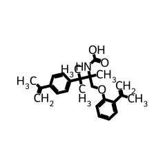 C=C(C)c1ccc(C(C)(C)C(C)(COc2ccccc2C(=C)C)NC(=O)O)cc1